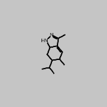 CC1=NNC2CC(C(C)C)C(C)C=C12